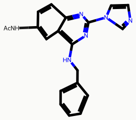 CC(=O)Nc1ccc2nc(-n3ccnc3)nc(NCc3ccccc3)c2c1